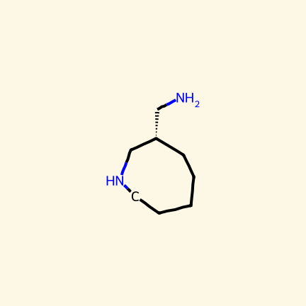 NC[C@@H]1CCCCCNC1